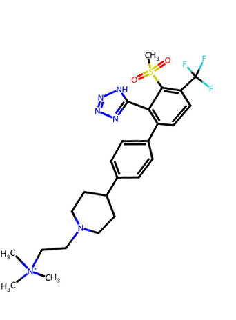 C[N+](C)(C)CCN1CCC(c2ccc(-c3ccc(C(F)(F)F)c(S(C)(=O)=O)c3-c3nnn[nH]3)cc2)CC1